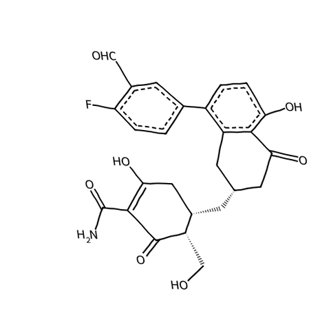 NC(=O)C1=C(O)C[C@H](C[C@H]2CC(=O)c3c(O)ccc(-c4ccc(F)c(C=O)c4)c3C2)[C@H](CO)C1=O